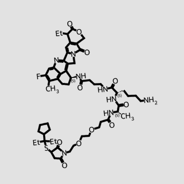 CCC1C(=O)OCc2c1cc1n(c2=O)Cc2c-1nc1cc(F)c(C)c3c1c2[C@@H](NC(=O)CCCNC(=O)[C@H](CCCCN)NC(=O)[C@H](C)NC(=O)CCOCCOCCN1C(=O)CC(SC(CC)(CC)C2CCCC2)C1=O)CC3